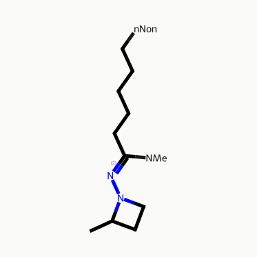 CCCCCCCCCCCCCC/C(=N/N1CCC1C)NC